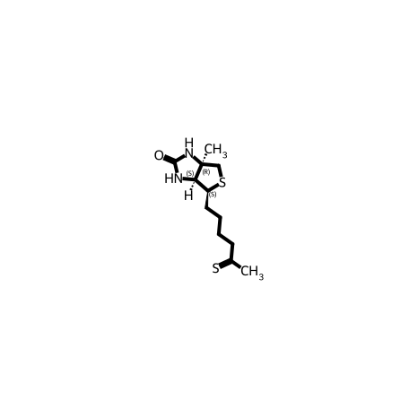 CC(=S)CCCC[C@@H]1SC[C@]2(C)NC(=O)N[C@H]12